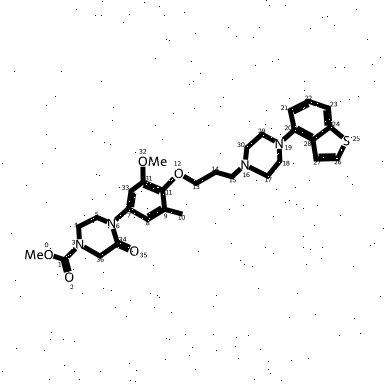 COC(=O)N1CCN(c2cc(C)c(OCCCN3CCN(c4cccc5sccc45)CC3)c(OC)c2)C(=O)C1